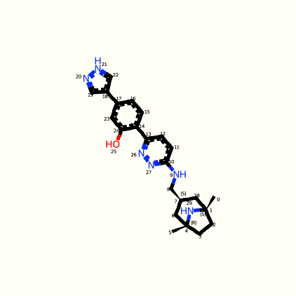 C[C@]12CC[C@](C)(C[C@@H](CNc3ccc(-c4ccc(-c5cn[nH]c5)cc4O)nn3)C1)N2